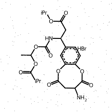 Br.CC(C)OC(=O)CC(NC(=O)OC(C)OC(=O)C(C)C)c1ccc2c(c1)OC(=O)CC(N)C(=O)O2